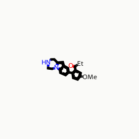 CCC(=O)c1cc(OC)ccc1-c1ccc2c(c1)cc1n2CCNCC1